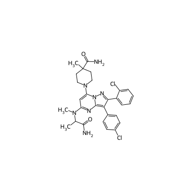 CC(C(N)=O)N(C)c1cc(N2CCC(C)(C(N)=O)CC2)n2nc(-c3ccccc3Cl)c(-c3ccc(Cl)cc3)c2n1